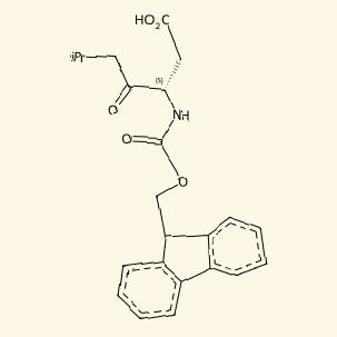 C[C](C)CC(=O)[C@H](CC(=O)O)NC(=O)OCC1c2ccccc2-c2ccccc21